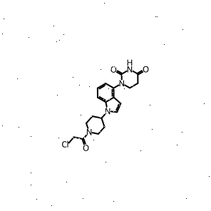 O=C1CCN(c2cccc3c2ccn3C2CCN(C(=O)CCl)CC2)C(=O)N1